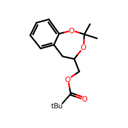 CC1(C)Oc2ccccc2CC(COC(=O)C(C)(C)C)O1